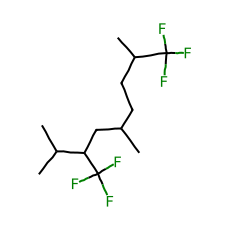 CC(CCC(C)C(F)(F)F)CC(C(C)C)C(F)(F)F